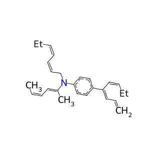 C=C/C=C(\C=C/CC)c1ccc(N(C/C=C\C=C/CC)/C(C)=C/C=C\C)cc1